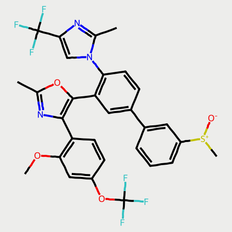 COc1cc(OC(F)(F)F)ccc1-c1nc(C)oc1-c1cc(-c2cccc([S+](C)[O-])c2)ccc1-n1cc(C(F)(F)F)nc1C